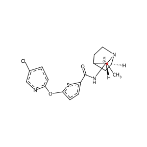 C[C@H]1[C@H](NC(=O)c2ccc(Oc3ccc(Cl)cn3)s2)C2CCN1CC2